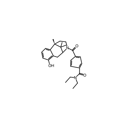 CCN(CC)C(=O)c1ccc(C(=O)N2CC[C@@]3(C)c4cccc(O)c4CC2C3(C)C)cc1